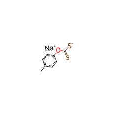 Cc1ccc(OC(=S)[S-])cc1.[Na+]